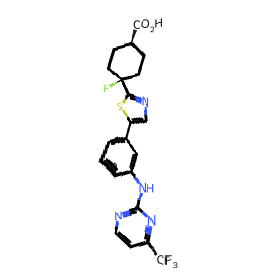 O=C(O)[C@H]1CC[C@](F)(c2ncc(-c3cccc(Nc4nccc(C(F)(F)F)n4)c3)s2)CC1